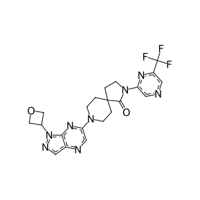 O=C1N(c2cncc(C(F)(F)F)n2)CCC12CCN(c1cnc3cnn(C4COC4)c3n1)CC2